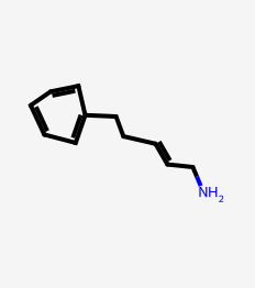 NCC=CCCc1ccccc1